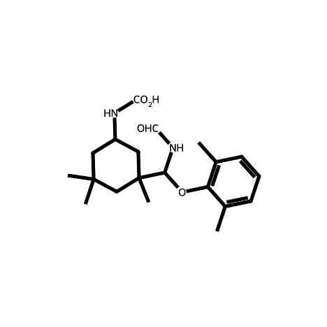 Cc1cccc(C)c1OC(NC=O)C1(C)CC(NC(=O)O)CC(C)(C)C1